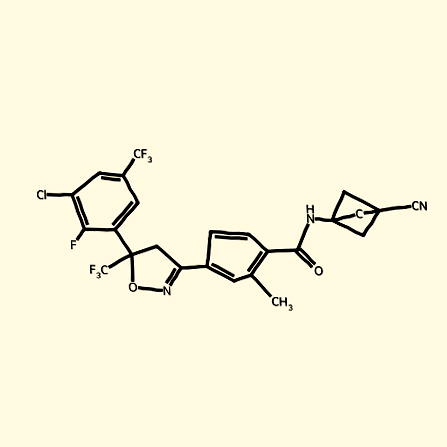 Cc1cc(C2=NOC(c3cc(C(F)(F)F)cc(Cl)c3F)(C(F)(F)F)C2)ccc1C(=O)NC12CC(C#N)(C1)C2